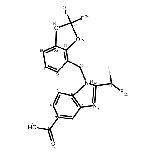 O=C(O)c1ccc2c(c1)nc(C(F)F)n2Cc1cccc2c1OC(F)(F)O2